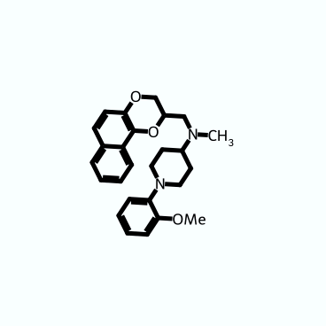 COc1ccccc1N1CCC(N(C)CC2COc3ccc4ccccc4c3O2)CC1